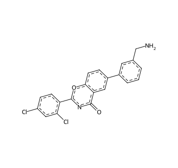 NCc1cccc(-c2ccc3oc(-c4ccc(Cl)cc4Cl)nc(=O)c3c2)c1